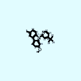 COc1ccc2c3cc(C)ccc3n(-c3cc(C(C)(C)C)ccn3)c2c1